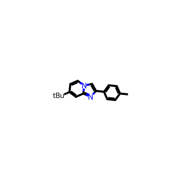 Cc1ccc(-c2cn3ccc(C(C)(C)C)cc3n2)cc1